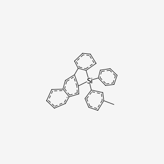 Cc1cccc([Si]2(c3ccccc3)c3ccccc3-c3cc4ccccc4cc32)c1